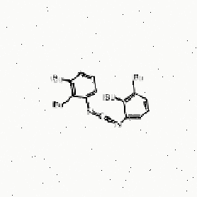 CCC(C)c1cccc(N=C=Nc2cccc(C(C)CC)c2C(C)CC)c1C(C)CC